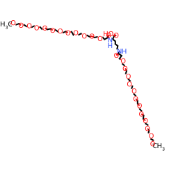 COCCOCCOCCOCCOCCOCCOCCOCCOCCOCCOCCOCCC(=O)NCCCCC(NC(=O)CCOCCOCCOCCOCCOCCOCCOCCOCCOCCOCCOCCOC)C(=O)O